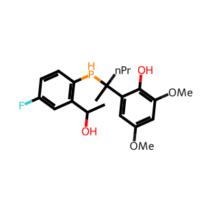 CCCC(C)(Pc1ccc(F)cc1C(C)O)c1cc(OC)cc(OC)c1O